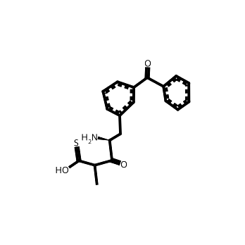 CC(C(=O)[C@@H](N)Cc1cccc(C(=O)c2ccccc2)c1)C(O)=S